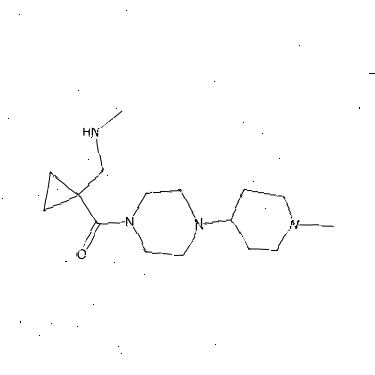 CNCC1(C(=O)N2CCN(C3CCN(C)CC3)CC2)CC1